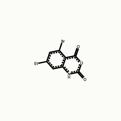 CCc1cc(Br)c2c(=O)oc(=O)[nH]c2c1